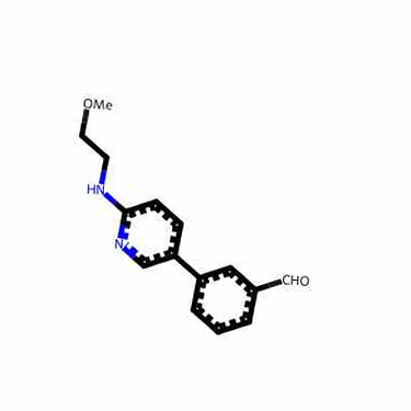 COCCNc1ccc(-c2cccc(C=O)c2)cn1